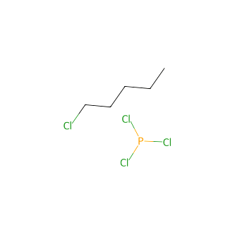 CCCCCCl.ClP(Cl)Cl